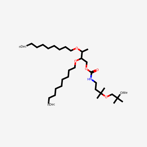 CCCCCCCCCCCCCCCCCCOC(C)C(COC(=O)NCCC(C)(C)OCC(C)(C)OC)OCCCCCCCCCCCCCCCCCC